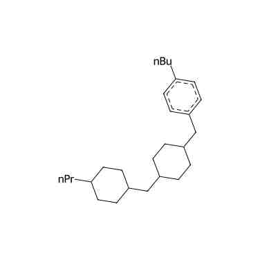 CCCCc1ccc(CC2CCC(CC3CCC(CCC)CC3)CC2)cc1